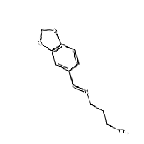 CCCC/N=C/c1ccc2c(c1)OCO2